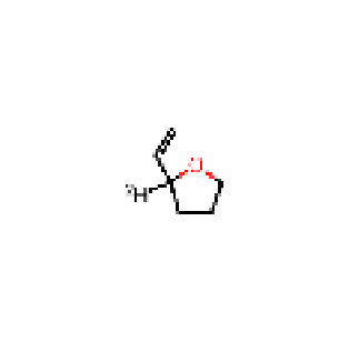 [2H]C1(C=C)CCCO1